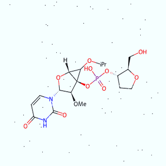 CO[C@H]1[C@H](n2ccc(=O)[nH]c2=O)O[C@@H]2C(OC(C)C)[C@@]21OP(=O)(O)O[C@H]1CCO[C@@H]1CO